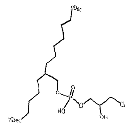 CCCCCCCCCCCCCCCCC(CCCCCCCCCCCCCC)COP(=O)(O)OCC(O)CCl